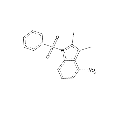 Cc1c(I)n(S(=O)(=O)c2ccccc2)c2cccc([N+](=O)[O-])c12